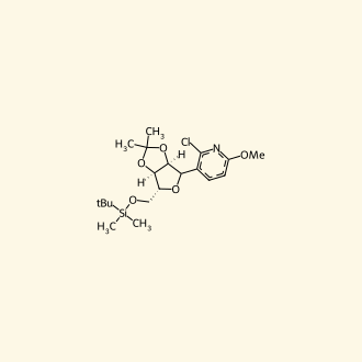 COc1ccc(C2O[C@H](CO[Si](C)(C)C(C)(C)C)[C@H]3OC(C)(C)O[C@@H]23)c(Cl)n1